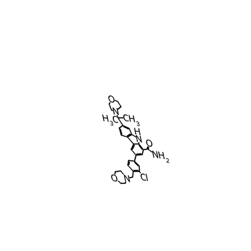 CC(C)(c1ccc2c(c1)[nH]c1c(C(N)=O)cc(-c3ccc(CN4CCOCC4)c(Cl)c3)cc12)N1CCOCC1